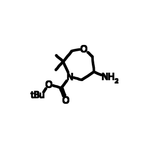 CC(C)(C)OC(=O)N1CC(N)COCC1(C)C